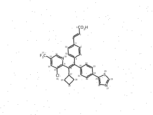 O=C(O)C=Cc1ccc(C(=C(c2ncc(C(F)(F)F)cc2Cl)C2CCC2)c2ccc(-c3cncs3)cc2)cc1